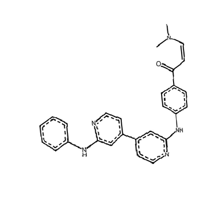 CN(C)/C=C\C(=O)c1ccc(Nc2cc(-c3ccnc(Nc4ccccc4)c3)ccn2)cc1